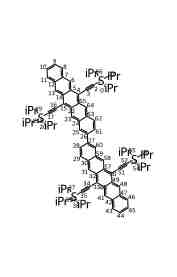 CC(C)S(C#Cc1c2cc3ccccc3cc2c(C#CS(C(C)C)(C(C)C)C(C)C)c2cc3cc(-c4ccc5cc6c(C#CS(C(C)C)(C(C)C)C(C)C)c7cc8ccccc8cc7c(C#CS(C(C)C)(C(C)C)C(C)C)c6cc5c4)ccc3cc12)(C(C)C)C(C)C